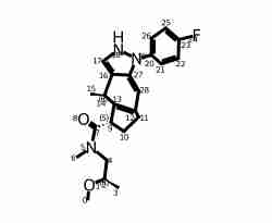 CO[C@H](C)CN(C)C(=O)[C@H]1CCC2=C1[C@@H](C)C1=CNN(c3ccc(F)cc3)C1=C2